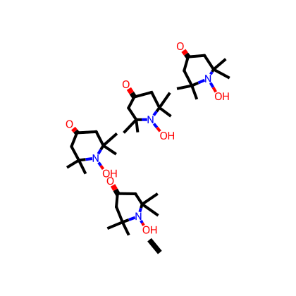 C=C.CC1(C)CC(=O)CC(C)(C)N1O.CC1(C)CC(=O)CC(C)(C)N1O.CC1(C)CC(=O)CC(C)(C)N1O.CC1(C)CC(=O)CC(C)(C)N1O